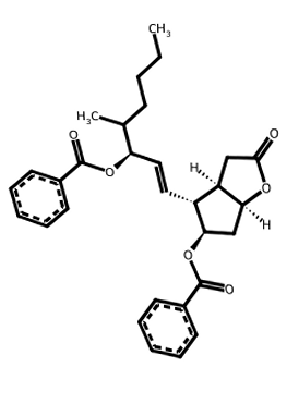 CCCCC(C)[C@@H](C=C[C@@H]1[C@H]2CC(=O)O[C@H]2C[C@H]1OC(=O)c1ccccc1)OC(=O)c1ccccc1